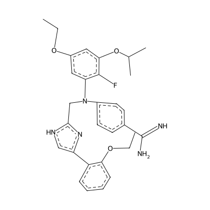 CCOc1cc(OC(C)C)c(F)c(N(Cc2nc(-c3ccccc3OCC)c[nH]2)c2ccc(C(=N)N)cc2)c1